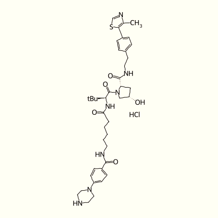 Cc1ncsc1-c1ccc(CCNC(=O)[C@@H]2C[C@H](O)CN2C(=O)[C@@H](NC(=O)CCCCCNC(=O)c2ccc(N3CCNCC3)cc2)C(C)(C)C)cc1.Cl